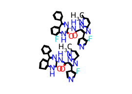 Cc1ccc2nc(-c3ccncc3F)c(C(=O)N[C@H]3N=C(c4ccccc4)c4cccc(F)c4NC3=O)n2n1.Cc1ccc2nc(-c3ccncc3F)c(C(=O)N[C@H]3N=C(c4ccccc4)c4ccccc4NC3=O)n2n1